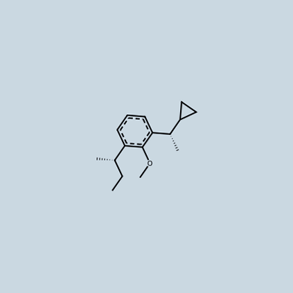 CC[C@H](C)c1cccc([C@@H](C)C2CC2)c1OC